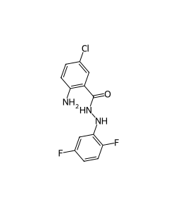 Nc1ccc(Cl)cc1C(=O)NNc1cc(F)ccc1F